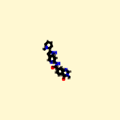 CN1CCCC[C@@H]1c1cc2cnc(NC(=O)c3ccc4c(=O)n(C)cnc4c3)cc2[nH]1